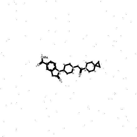 COC(=O)c1ccc2c(c1)CC(=O)N2C1CCN(CC(=O)N2CCC3(CC2)CC3)CC1